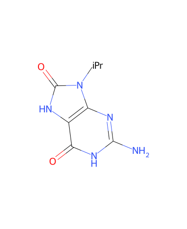 CC(C)n1c(=O)[nH]c2c(=O)[nH]c(N)nc21